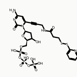 Nc1cc(C#CCNC(=O)CCSSc2ccccn2)n([C@H]2CC(O)[C@@H](COP(=O)(O)OP(=O)(O)OP(=O)(O)O)O2)c(=O)n1